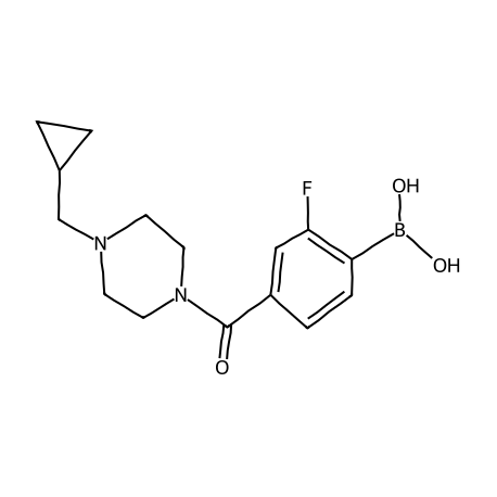 O=C(c1ccc(B(O)O)c(F)c1)N1CCN(CC2CC2)CC1